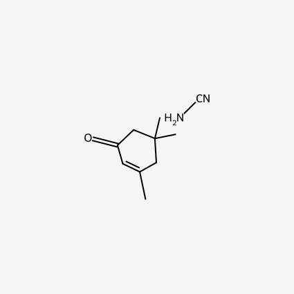 CC1=CC(=O)CC(C)(C)C1.N#CN